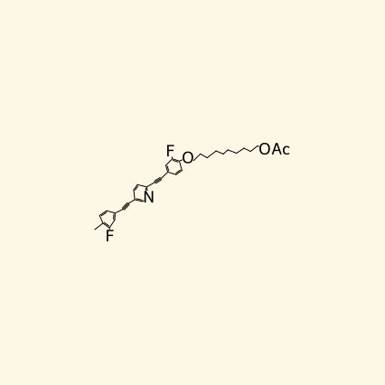 CC(=O)OCCCCCCCCCCOc1ccc(C#Cc2ccc(C#Cc3ccc(C)c(F)c3)cn2)cc1F